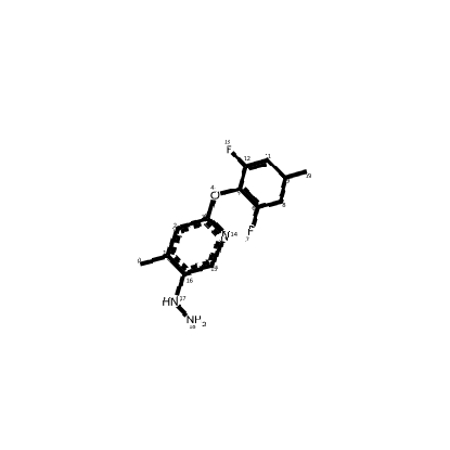 Cc1cc(OC2=C(F)CC(C)C=C2F)ncc1NN